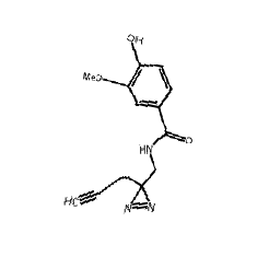 C#CCC1(CNC(=O)c2ccc(O)c(OC)c2)N=N1